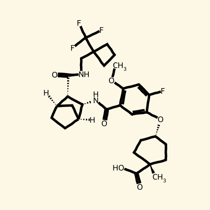 COc1cc(F)c(O[C@H]2CC[C@@](C)(C(=O)O)CC2)cc1C(=O)N[C@@H]1[C@H]2CC[C@H](C2)[C@@H]1C(=O)NCC1(C(F)(F)F)CCC1